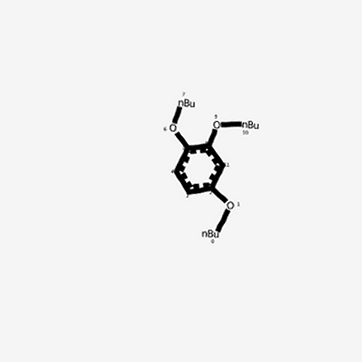 CCCCOc1c[c]c(OCCCC)c(OCCCC)c1